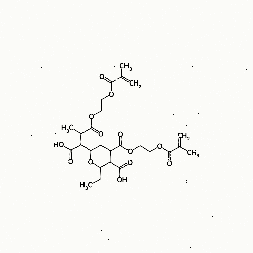 C=C(C)C(=O)OCCOC(=O)C(C)C(C(=O)O)C1CC(C(=O)OCCOC(=O)C(=C)C)C(C(=O)O)C(CC)O1